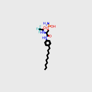 CCCCCCCCCCc1ccc(NC(=O)C(COP(N)O)NC(=O)C(F)(F)F)cc1